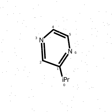 [CH2]C(C)c1cnccn1